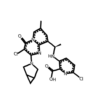 Cc1cc([C@@H](C)Nc2ccc(Cl)nc2C(=O)O)c2nc(N3CC4CC4C3)c(Cl)c(=O)n2c1